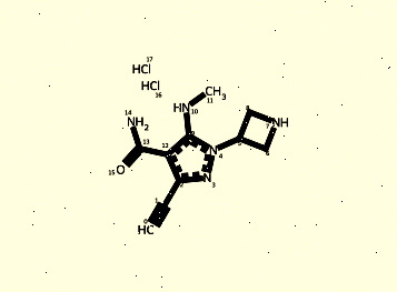 C#Cc1nn(C2CNC2)c(NC)c1C(N)=O.Cl.Cl